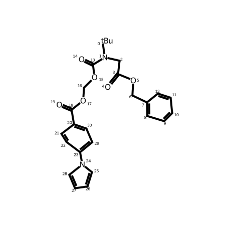 CC(C)(C)N(CC(=O)OCc1ccccc1)C(=O)OCOC(=O)c1ccc(-n2cccc2)cc1